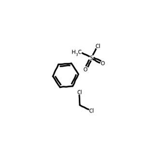 CS(=O)(=O)Cl.ClCCl.c1ccccc1